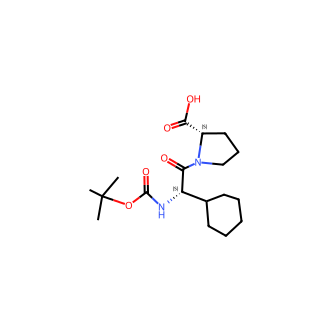 CC(C)(C)OC(=O)N[C@H](C(=O)N1CCC[C@H]1C(=O)O)C1CCCCC1